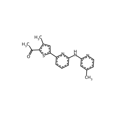 CC(=O)c1sc(-c2cccc(Nc3cc(C)ccn3)n2)cc1C